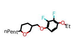 CCCCCC1CCC(COc2ccc(OCC)c(F)c2F)CO1